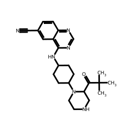 CC(C)(C)C(=O)C1CNCCN1C1CCC(Nc2ncnc3ccc(C#N)cc23)CC1